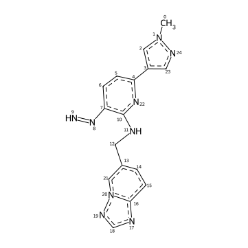 Cn1cc(-c2ccc(N=N)c(NCc3ccc4ncnn4c3)n2)cn1